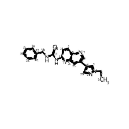 CCn1cc(-c2cnc3ccc(NC(=O)NCc4ccccc4)nc3c2)cn1